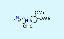 COc1cc(C=O)c(N2CC[C@@H](N(C)C)C2)cc1OC